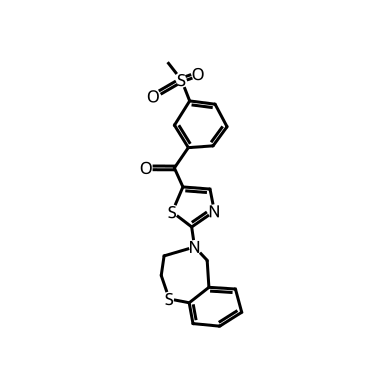 CS(=O)(=O)c1cccc(C(=O)c2cnc(N3CCSc4ccccc4C3)s2)c1